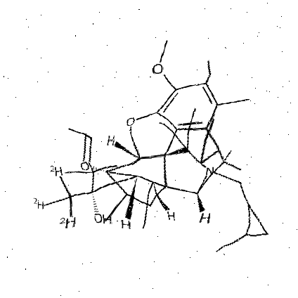 [2H]C([2H])([2H])[C@](O)([C@H]1[C@@H](C)C23CC(C)[C@@]1(OC)[C@@H]1Oc4c(OC)c(C)c(C)c5c4[C@@]12C(C)(C)C(C)(C)N(CC1CC1C)[C@@H]3C5(C)C)C(C)(C)CC